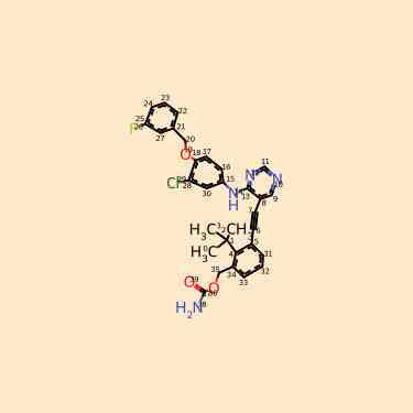 CC(C)(C)c1c(C#Cc2cncnc2Nc2ccc(OCc3cccc(F)c3)c(Cl)c2)cccc1COC(N)=O